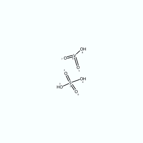 O=S(=O)(O)O.[O]=[V](=[O])[OH]